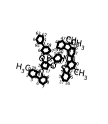 Cc1ccc2c3ccccc3n(-c3cc4c5c(c3)Oc3cc(-n6c7c8c(ccc7c7cc(C)c9c%10ccccc%10sc9c76)C(C)(C)c6ccccc6-8)ccc3B5c3ccc(-c5ccccc5)cc3O4)c2c1